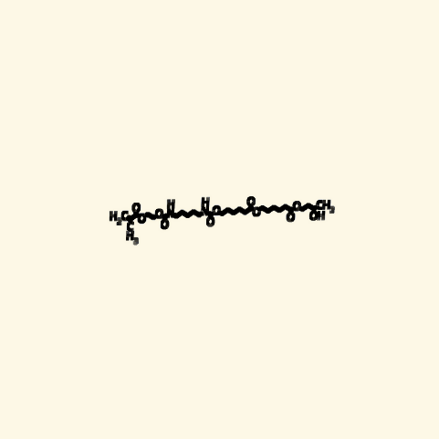 C=C(C)C(=O)OCCOC(=O)NCCCCCNC(=O)OCCCCCC(=O)OCCCCCC(=O)OCCC(C)O